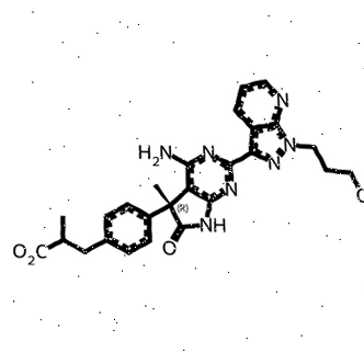 CC(Cc1ccc([C@@]2(C)C(=O)Nc3nc(-c4nn(CCCC(F)(F)F)c5ncccc45)nc(N)c32)cc1)C(=O)O